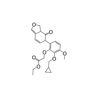 CCOC(=O)COc1c(C2C=CC3=COCC3C2=O)ccc(OC)c1OCC1CC1